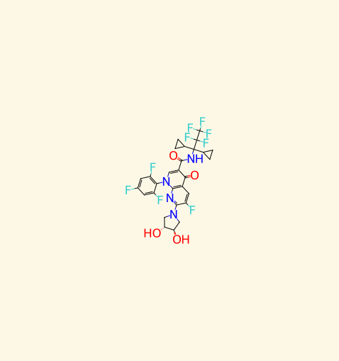 O=C(NC(C1CC1)(C1CC1)C(F)(F)C(F)(F)F)c1cn(-c2c(F)cc(F)cc2F)c2nc(N3C[C@@H](O)[C@H](O)C3)c(F)cc2c1=O